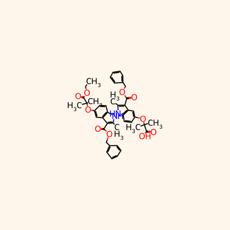 CCOC(=O)C(C)(C)Oc1ccc2[nH]c(C)c(C(=O)OCc3ccccc3)c2c1.Cc1[nH]c2ccc(OC(C)(C)C(=O)O)cc2c1C(=O)OCc1ccccc1